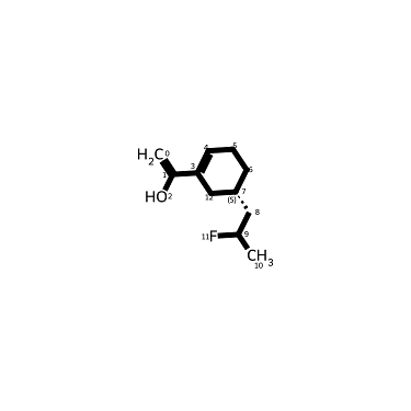 C=C(O)C1=CCC[C@H](CC(C)F)C1